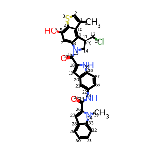 Cc1csc2c(O)cc3c(c12)[C@@H](CCl)CN3C(=O)c1cc2cc(NC(=O)c3cc4ccccc4n3C)ccc2[nH]1